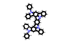 C1=CC2c3c(cc4c5ccccc5n5c6cc7c(cc6c3c45)c3c4c5ccccc5n(-c5ccccc5)c4cc4c5ccccc5n7c43)N(c3ccccc3)C2C=C1